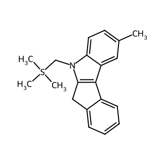 Cc1ccc2c(c1)c1c(n2CS(C)(C)C)Cc2ccccc2-1